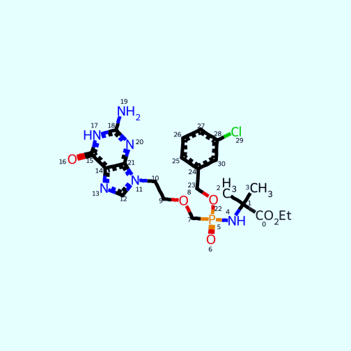 CCOC(=O)C(C)(C)NP(=O)(COCCn1cnc2c(=O)[nH]c(N)nc21)OCc1cccc(Cl)c1